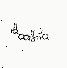 CC(C)[C@@H]1CC[C@@H](C)C[C@H]1OCC(=O)Nc1cc2cc(-c3cn[nH]c3)ccc2cn1